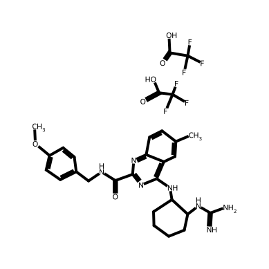 COc1ccc(CNC(=O)c2nc(NC3CCCCC3NC(=N)N)c3cc(C)ccc3n2)cc1.O=C(O)C(F)(F)F.O=C(O)C(F)(F)F